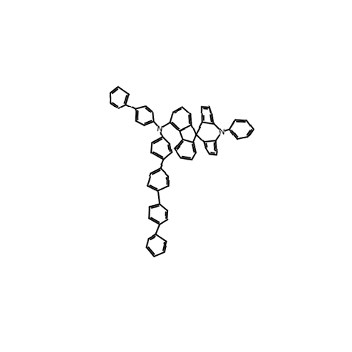 c1ccc(-c2ccc(-c3ccc(-c4ccc(N(c5ccc(-c6ccccc6)cc5)c5cccc6c5-c5ccccc5C65c6ccccc6N(c6ccccc6)c6ccccc65)cc4)cc3)cc2)cc1